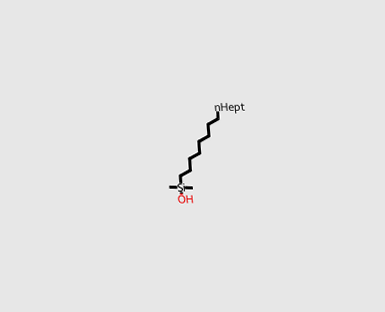 CCCCCCCCCCCCCCC[Si](C)(C)O